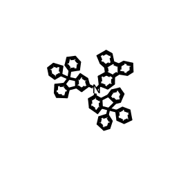 c1ccc(C2(c3ccccc3)c3ccccc3-c3cc(N(c4ccc5c6ccccc6c6ccccc6c5c4)c4cccc5c4-c4ccccc4C5(c4ccccc4)c4ccccc4)ccc32)cc1